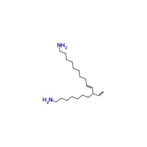 C=CC(C=CCCCCCCCCN)CCCCCCCN